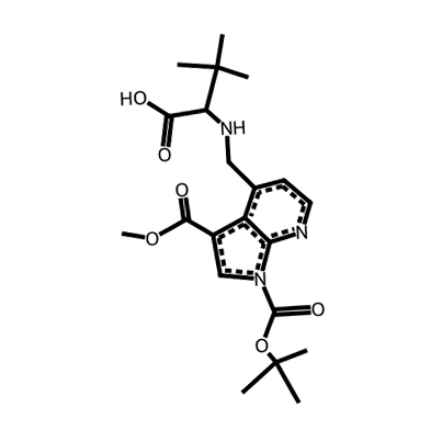 COC(=O)c1cn(C(=O)OC(C)(C)C)c2nccc(CNC(C(=O)O)C(C)(C)C)c12